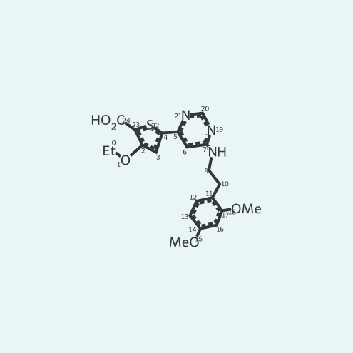 CCOc1cc(-c2cc(NCCc3ccc(OC)cc3OC)ncn2)sc1C(=O)O